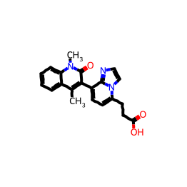 Cc1c(-c2ccc(CCC(=O)O)n3ccnc23)c(=O)n(C)c2ccccc12